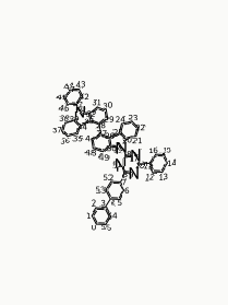 c1ccc(-c2ccc(-c3nc(-c4ccccc4)nc(-n4c5ccccc5c5c(-c6cccc7c6c6ccccc6n7-c6ccccc6)cccc54)n3)cc2)cc1